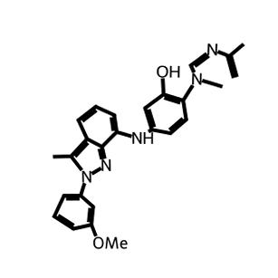 C=C(C)/N=C\N(C)c1ccc(Nc2cccc3c(C)n(-c4cccc(OC)c4)nc23)cc1O